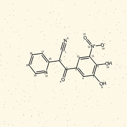 N#CC(C(=O)c1cc(O)c(O)c([N+](=O)[O-])c1)c1ccccn1